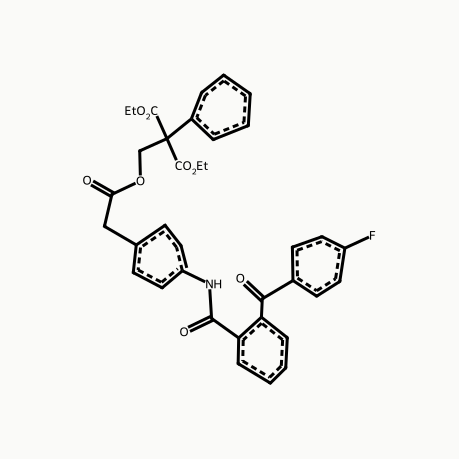 CCOC(=O)C(COC(=O)Cc1ccc(NC(=O)c2ccccc2C(=O)c2ccc(F)cc2)cc1)(C(=O)OCC)c1ccccc1